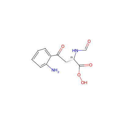 Nc1ccccc1C(=O)C[C@H](NC=O)C(=O)OO